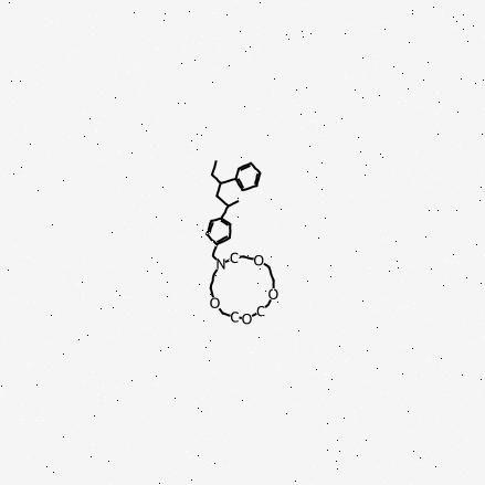 CCC(CC(C)c1ccc(CN2CCOCCOCCOCCOCC2)cc1)c1ccccc1